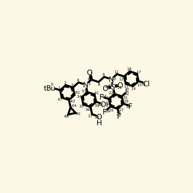 CC(C)(C)c1cc(CN(C(=O)CCN(Cc2ccc(Cl)cc2)S(=O)(=O)c2c(F)c(F)c(F)c(F)c2F)c2ccc(CO)c(O)c2)cc(C2CC2)c1